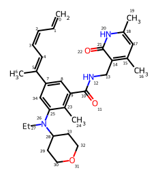 C=C/C=C\C=C(/C)c1cc(C(=O)NCc2c(C)cc(C)[nH]c2=O)c(C)c(N(CC)C2CCOCC2)c1